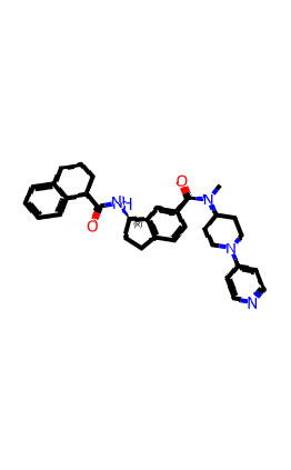 CN(C(=O)c1ccc2c(c1)[C@H](NC(=O)C1CCCc3ccccc31)CC2)C1CCN(c2ccncc2)CC1